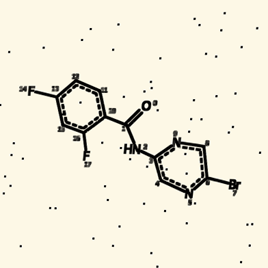 O=C(Nc1cnc(Br)cn1)c1ccc(F)cc1F